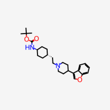 CC(C)(C)OC(=O)N[C@H]1CC[C@H](CCN2CCC(c3coc4ccccc34)CC2)CC1